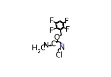 C=NC=C=C(/C=N\CCl)OCc1c(F)c(F)cc(F)c1F